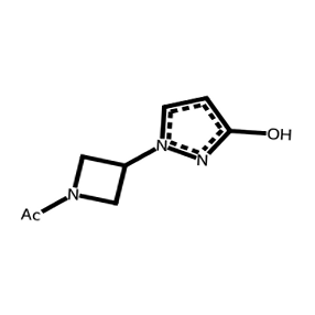 CC(=O)N1CC(n2ccc(O)n2)C1